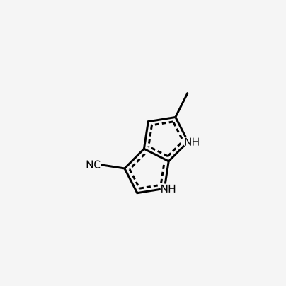 Cc1cc2c(C#N)c[nH]c2[nH]1